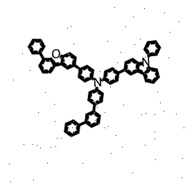 c1ccc(-c2cccc(-c3ccc(N(c4ccc(-c5ccc6oc7c(-c8ccccc8)cccc7c6c5)cc4)c4ccc(-c5ccc6c(c5)c5ccccc5n6-c5ccccc5)cc4)cc3)c2)cc1